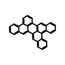 c1ccc2c(c1)cc1c3cc4ccccc4c4c5ccccc5cc(c5cccc2c51)c34